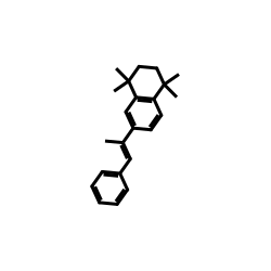 C/C(=C\c1ccccc1)c1ccc2c(c1)C(C)(C)CCC2(C)C